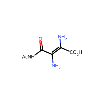 CC(=O)NC(=O)/C(N)=C(\N)C(=O)O